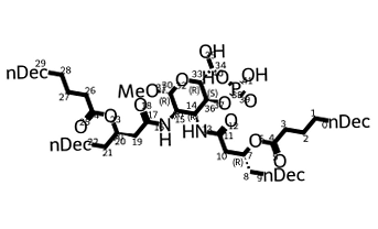 CCCCCCCCCCCCCC(=O)O[C@H](CCCCCCCCCCC)CC(=O)N[C@@H]1[C@@H](NC(=O)C[C@@H](CCCCCCCCCCC)OC(=O)CCCCCCCCCCCCC)[C@H](OC)O[C@H](CO)[C@H]1OP(=O)(O)O